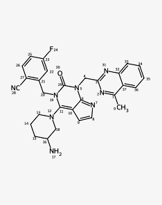 Cc1nc(Cn2c3nccc-3c(N3CCCC(N)C3)n(Cc3cc(F)ccc3C#N)c2=O)nc2ccccc12